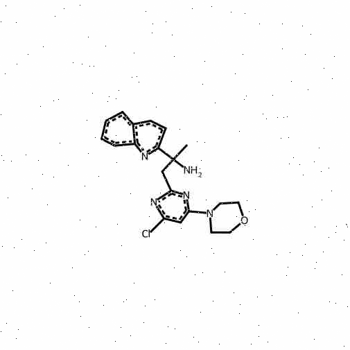 CC(N)(Cc1nc(Cl)cc(N2CCOCC2)n1)c1ccc2ccccc2n1